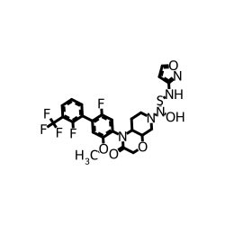 COc1cc(-c2cccc(C(F)(F)F)c2F)c(F)cc1N1C(=O)COC2CN(N(O)SNc3ccon3)CCC21